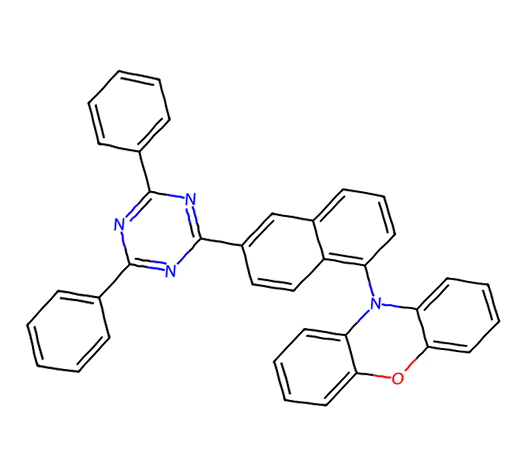 c1ccc(-c2nc(-c3ccccc3)nc(-c3ccc4c(N5c6ccccc6Oc6ccccc65)cccc4c3)n2)cc1